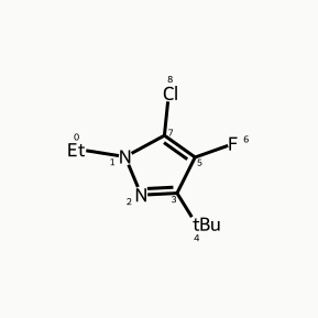 CCn1nc(C(C)(C)C)c(F)c1Cl